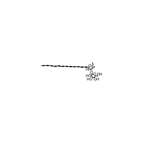 CC#CC#CC#CC#CC#CC#CC#CC#CC#CC#CC#CC#CC(=O)N[C@@H](CO[C@H]1OC(CO)[C@H](O)[C@H](O)C1O)[C@H](F)CCC